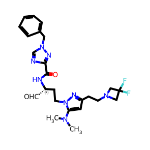 CN(C)c1cc(CCN2CC(F)(F)C2)nn1CC[C@H](C=O)NC(=O)c1ncn(Cc2ccccc2)n1